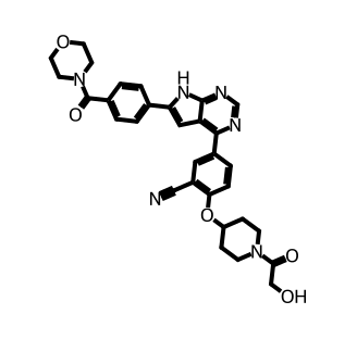 N#Cc1cc(-c2ncnc3[nH]c(-c4ccc(C(=O)N5CCOCC5)cc4)cc23)ccc1OC1CCN(C(=O)CO)CC1